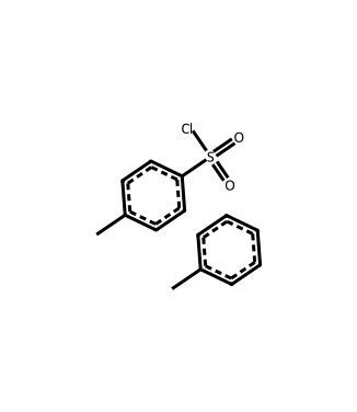 Cc1ccc(S(=O)(=O)Cl)cc1.Cc1ccccc1